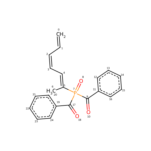 C=C/C=C\C=C(/C)P(=O)(C(=O)c1ccccc1)C(=O)c1ccccc1